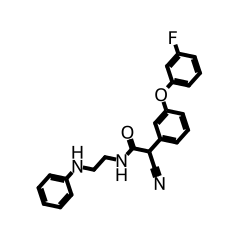 N#CC(C(=O)NCCNc1ccccc1)c1cccc(Oc2cccc(F)c2)c1